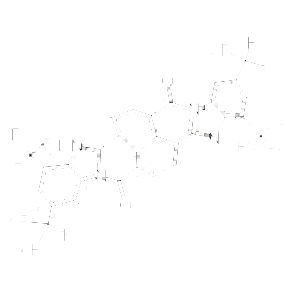 O=C1c2ccc3c4c2c(ccc4c(=O)n2c4cc(C(F)(F)F)cc(C(F)(F)F)c4nc32)-c2[nH]c3c(C(F)(F)F)cc(C(F)(F)F)cc3[n+]21